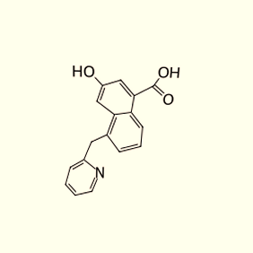 O=C(O)c1cc(O)cc2c(Cc3ccccn3)cccc12